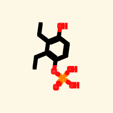 CCc1c(O)ccc(OP(=O)(O)O)c1CC